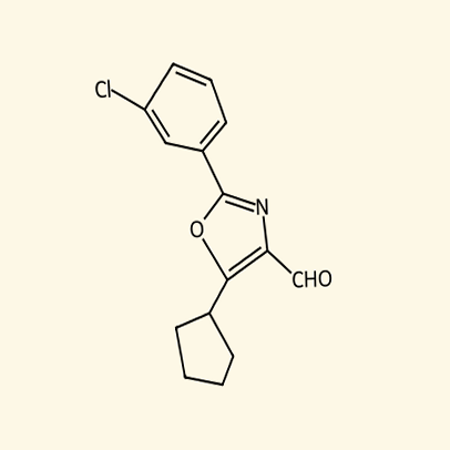 O=Cc1nc(-c2cccc(Cl)c2)oc1C1CCCC1